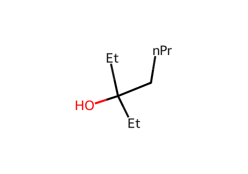 CCCCC(O)(CC)CC